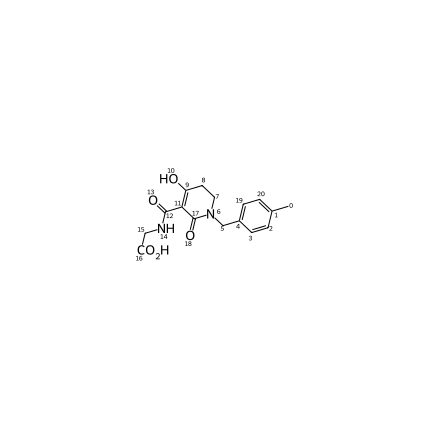 Cc1ccc(CN2CCC(O)=C(C(=O)NCC(=O)O)C2=O)cc1